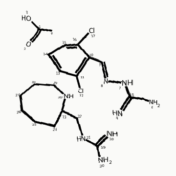 CC(=O)O.N=C(N)N/N=C/c1c(Cl)cccc1Cl.N=C(N)NCC1CCCCCCN1